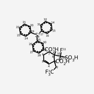 O=C(O)C1(CC(F)(F)F)C=CCCC1(C(=O)O)C(F)(F)S(=O)(=O)O.c1ccc([S+](c2ccccc2)c2ccccc2)cc1